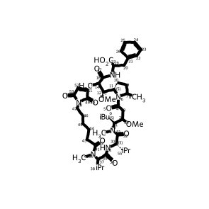 CC[C@H](C)C(C(CC(=O)N1C(C)CC[C@H]1[C@H](OC)C(C)C(=O)NC(Cc1ccccc1)C(=O)O)OC)N(C)C(=O)[C@@H](NC(=O)C(C(C)C)N(C)C(=O)CCCCCN1C(=O)C=CC1=O)C(C)C